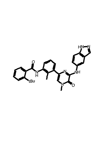 Cc1c(NC(=O)c2ccccc2C(C)(C)C)cccc1-c1cn(C)c(=O)c(Nc2ccc3[nH]ncc3c2)n1